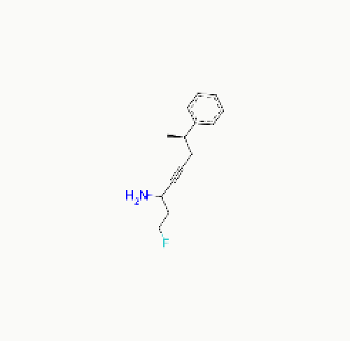 C[C@H](CC#CC(N)CCF)c1ccccc1